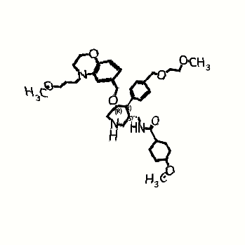 COCCCN1CCOc2ccc(CO[C@H]3CNC[C@@H](CNC(=O)C4CCC(OC)CC4)[C@@H]3c3ccc(COCCOC)cc3)cc21